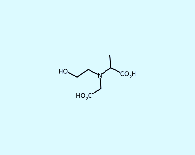 CC(C(=O)O)N(CCO)CC(=O)O